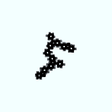 c1ccc(C2c3ccc(-c4cccc(-c5ccc6c(c5)c5cc(-c7ccc8c(c7)oc7ccncc78)ccc5n6-c5ccccc5)c4)cc3-c3cc(-c4ccc5c(c4)oc4ccncc45)ccc32)cc1